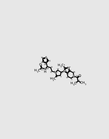 C=C1CC(n2c(C)nc3c2CCN(C(=O)C(C)C)C3)CN1CCC(NC(C)=O)c1ccsc1